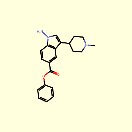 CN1CCC(c2cn(N)c3ccc(C(=O)Oc4ccccc4)cc23)CC1